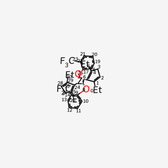 CCC1=CCC(CC)=[C]1[Zr]([O]c1ccccc1C(F)(F)F)([O]c1ccccc1C(F)(F)F)[C]1=C(CC)CC=C1CC